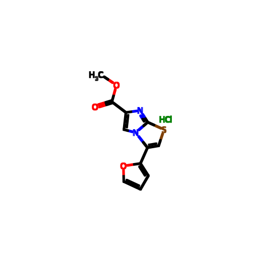 COC(=O)c1cn2c(-c3ccco3)csc2n1.Cl